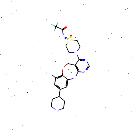 Cc1cc(C2CCNCC2)cc2c1OCc1c(ncnc1N1CCS(=O)(=NC(=O)C(F)(F)F)CC1)N2